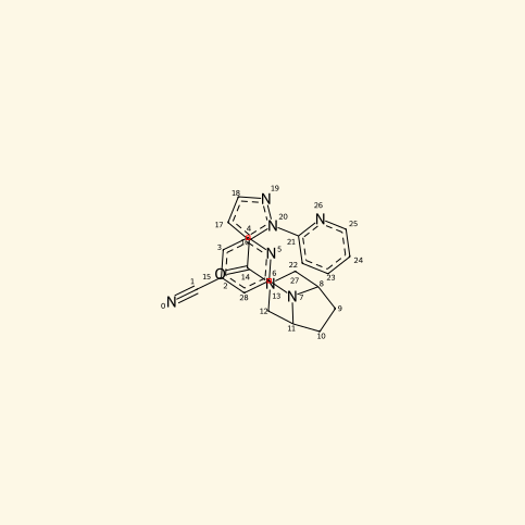 N#Cc1ccnc(N2C3CCC2CN(C(=O)c2ccnn2-c2ccccn2)C3)c1